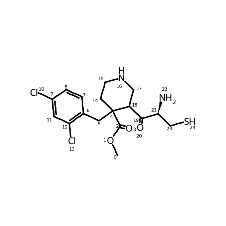 COC(=O)C1(Cc2ccc(Cl)cc2Cl)CCNCC1C(=O)[C@@H](N)CS